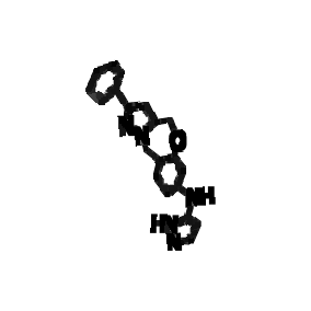 c1ccc(-c2cc3n(n2)Cc2ccc(Nc4ccn[nH]4)cc2OC3)cc1